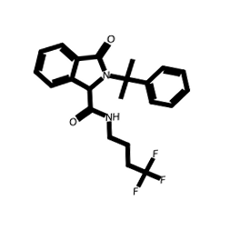 CC(C)(c1ccccc1)N1C(=O)c2ccccc2C1C(=O)NCCCC(F)(F)F